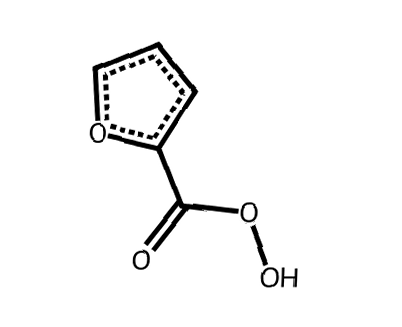 O=C(OO)c1ccco1